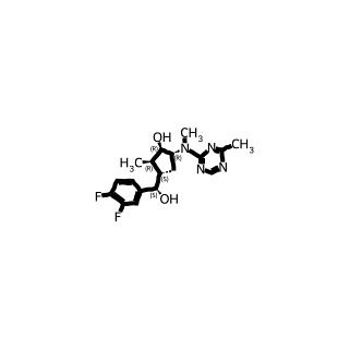 Cc1ncnc(N(C)[C@@H]2C[C@H]([C@H](O)c3ccc(F)c(F)c3)[C@@H](C)[C@H]2O)n1